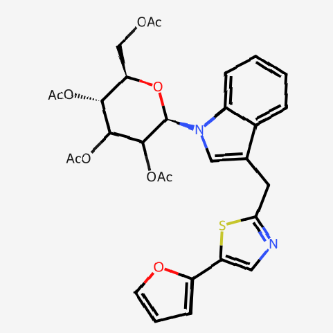 CC(=O)OC[C@H]1O[C@@H](n2cc(Cc3ncc(-c4ccco4)s3)c3ccccc32)C(OC(C)=O)C(OC(C)=O)[C@@H]1OC(C)=O